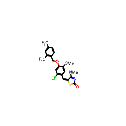 CNC1=NC(=O)SC1=Cc1cc(OC)c(OCc2ccc(C(F)(F)F)cc2C(F)(F)F)cc1Cl